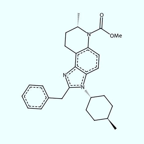 COC(=O)N1c2ccc3c(nc(Cc4ccccc4)n3[C@H]3CC[C@H](C)CC3)c2CC[C@@H]1C